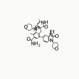 CCN(c1c(C)c(C(N)=O)cc(-c2ccc3c(c2)n(CC)c(=O)n3C2CCOCC2)c1Cc1c(C)cc(C)[nH]c1=O)C1CCOCC1